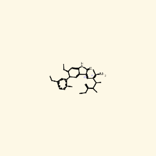 C=C(CC)C(C)C(C)C(/C=C1\C(=O)NC2=CC(CC)C(c3cc(CC)ccc3C)C=C21)=C(/C)N